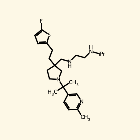 Cc1ccc(C(C)(C)N2CCC(CCc3ccc(F)s3)(CNCCNC(C)C)C2)cn1